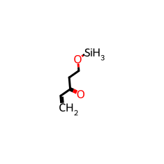 C=CC(=O)CCO[SiH3]